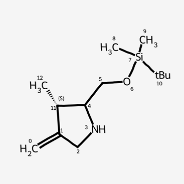 C=C1CNC(CO[Si](C)(C)C(C)(C)C)[C@H]1C